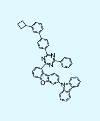 c1ccc(-c2nc(-c3ccc(-c4cccc(C5CCC5)c4)cc3)nc(-c3cccc4oc5cc(-n6c7ccccc7c7ccccc76)ccc5c34)n2)cc1